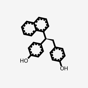 Oc1ccc(C[C@@H](c2ccc(O)cc2)c2cccc3ccccc23)cc1